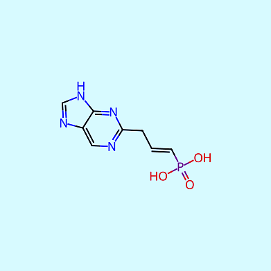 O=P(O)(O)/C=C/Cc1ncc2nc[nH]c2n1